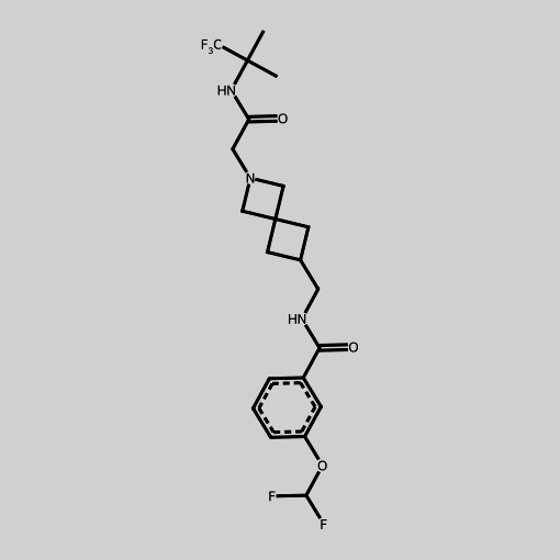 CC(C)(NC(=O)CN1CC2(CC(CNC(=O)c3cccc(OC(F)F)c3)C2)C1)C(F)(F)F